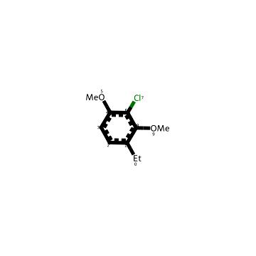 CCc1ccc(OC)c(Cl)c1OC